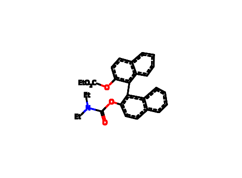 CCOC(=O)Oc1ccc2ccccc2c1-c1c(OC(=O)N(CC)CC)ccc2ccccc12